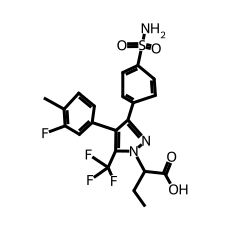 CCC(C(=O)O)n1nc(-c2ccc(S(N)(=O)=O)cc2)c(-c2ccc(C)c(F)c2)c1C(F)(F)F